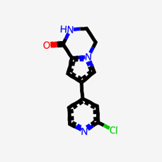 O=C1NCCn2cc(-c3ccnc(Cl)c3)cc21